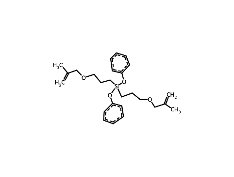 C=C(C)COCCC[Si](CCCOCC(=C)C)(Oc1ccccc1)Oc1ccccc1